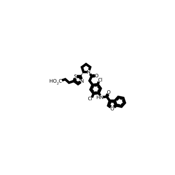 O=C(O)CCc1cnc([C@@H]2CCCN2C(=O)Cc2cc(Cl)c(NC(=O)c3coc4ccccc34)cc2Cl)s1